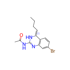 CCC/C=C1\NC(NC(C)=O)=Nc2cc(Br)ccc21